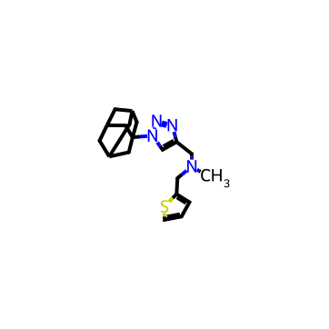 CN(Cc1cn(C23CC4CC(CC(C4)C2)C3)nn1)Cc1cccs1